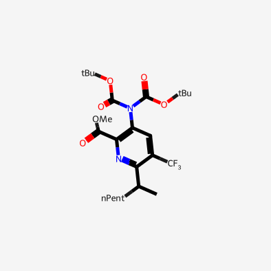 CCCCCC(C)c1nc(C(=O)OC)c(N(C(=O)OC(C)(C)C)C(=O)OC(C)(C)C)cc1C(F)(F)F